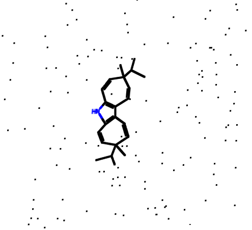 CC(C)C1(C)C=Cc2[nH]c3c(c2C=C1)C=CC(C)(C(C)C)C=C3